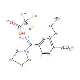 N=C(c1ccc(C(=O)O)c(CCBr)c1)N1CCCC1.O=C(O)C(F)(F)F